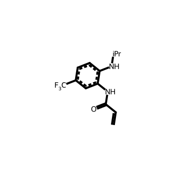 C=CC(=O)Nc1cc(C(F)(F)F)ccc1NC(C)C